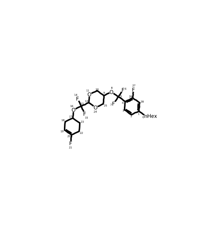 CCCCCCc1ccc(C(F)(F)OC2COC(C(F)(F)OC3CC=C(F)CC3)OC2)c(F)c1